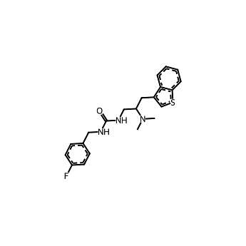 CN(C)C(CNC(=O)NCc1ccc(F)cc1)Cc1csc2ccccc12